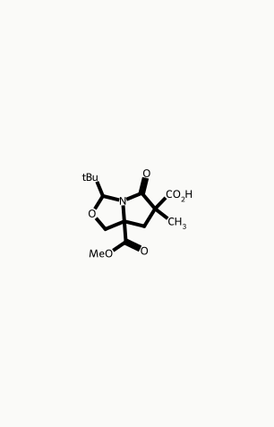 COC(=O)C12COC(C(C)(C)C)N1C(=O)C(C)(C(=O)O)C2